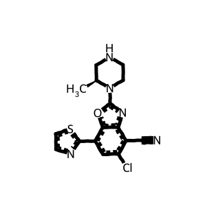 C[C@H]1CNCCN1c1nc2c(C#N)c(Cl)cc(-c3nccs3)c2o1